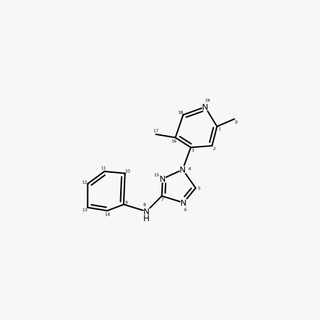 Cc1cc(-n2cnc(Nc3ccccc3)n2)c(C)cn1